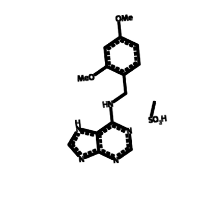 COc1ccc(CNc2ncnc3nc[nH]c23)c(OC)c1.CS(=O)(=O)O